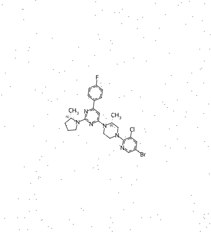 C[C@@H]1CN(c2ncc(Br)cc2Cl)CCN1c1cc(-c2ccc(F)cc2)nc(N2CCC[C@@H]2C)n1